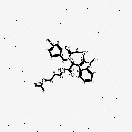 Cc1ccc(CN2C(=O)CSc3c(c4ccccc4n3C)C2C(=O)NCCCOC(C)C)cc1